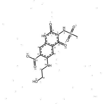 CS(=O)(=O)Nn1c(=O)[nH]c2cc([N+](=O)[O-])c(NCCO)cc2c1=O